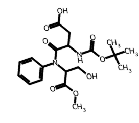 COC(=O)C(CO)N(C(=O)C(CC(=O)O)NC(=O)OC(C)(C)C)c1ccccc1